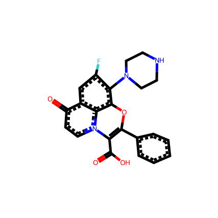 O=C(O)C1=C(c2ccccc2)Oc2c(N3CCNCC3)c(F)cc3c(=O)ccn1c23